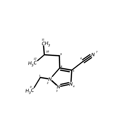 CCn1nnc(C#N)c1CC(C)C